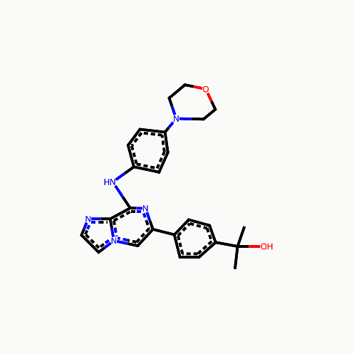 CC(C)(O)c1ccc(-c2cn3ccnc3c(Nc3ccc(N4CCOCC4)cc3)n2)cc1